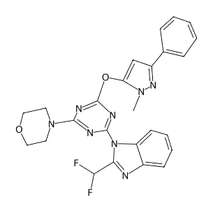 Cn1nc(-c2ccccc2)cc1Oc1nc(N2CCOCC2)nc(-n2c(C(F)F)nc3ccccc32)n1